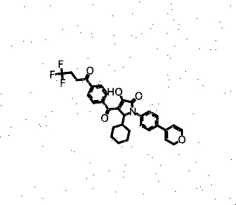 O=C(CCC(F)(F)F)c1ccc(C(=O)C2=C(O)C(=O)N(c3ccc(C4=CCOC=C4)cc3)C2C2CCCCC2)cc1